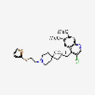 COc1cc2ncc(Cl)c(CCCC3(C(=O)O)CCN(CCSc4cccs4)CC3)c2cc1OC